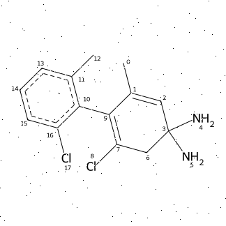 CC1=CC(N)(N)CC(Cl)=C1c1c(C)cccc1Cl